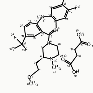 COCC[C@H]1CN(C2=Nc3cc(F)c(F)cc3Nc3ccc(C(F)(F)F)cc32)CCN1C.O=C(O)CCC(=O)O